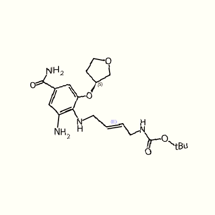 CC(C)(C)OC(=O)NC/C=C/CNc1c(N)cc(C(N)=O)cc1O[C@H]1CCOC1